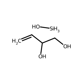 C=CC(O)CO.O[SiH3]